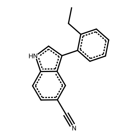 CCc1ccccc1-c1c[nH]c2ccc(C#N)cc12